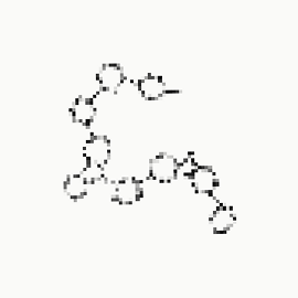 Cc1ccc(-c2cccc(-c3cccc(-c4ccc5c(c4)c4ccccc4n5-c4cccc(-c5ccc6sc7ccc(-c8ccccc8)cc7c6c5)c4)c3)c2)cc1